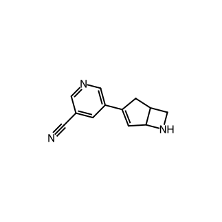 N#Cc1cncc(C2=CC3NCC3C2)c1